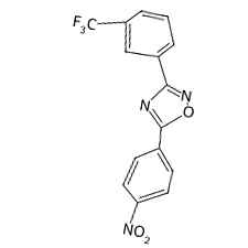 O=[N+]([O-])c1ccc(-c2nc(-c3cccc(C(F)(F)F)c3)no2)cc1